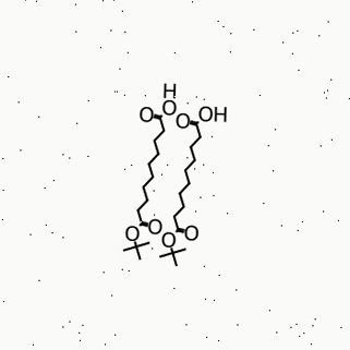 CC(C)(C)OC(=O)CCCCCCCCC(=O)O.CC(C)(C)OC(=O)CCCCCCCCC(=O)O